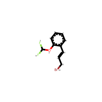 FC(F)Oc1ccccc1C=CCBr